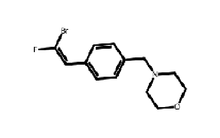 FC(Br)=Cc1ccc(CN2CCOCC2)cc1